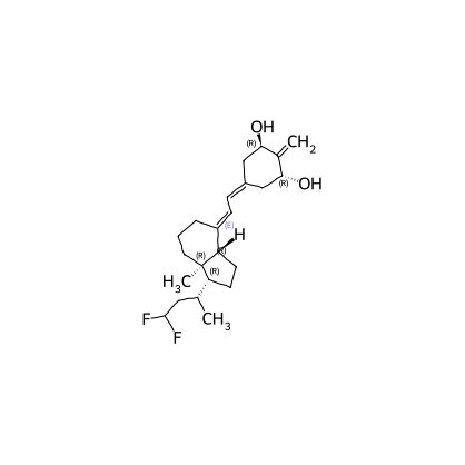 C=C1[C@H](O)CC(=C/C=C2\CCC[C@]3(C)[C@@H](C(C)CC(F)F)CC[C@@H]23)C[C@H]1O